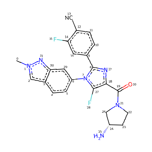 Cn1cc2ccc(-n3c(-c4ccc(C#N)c(F)c4)nc(C(=O)N4CC[C@H](N)C4)c3F)cc2n1